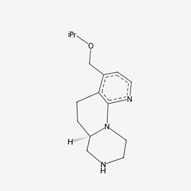 CC(C)OCc1ccnc2c1CC[C@@H]1CNCCN21